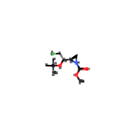 CC(C)(C)OC(=O)N1C[C@@H]1[C@@H](CCl)O[Si](C)(C)C(C)(C)C